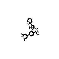 Cc1cc(-c2ccc3c(=O)n(C)c4cc(C5CCCCO5)nn4c3c2)cc(C)n1